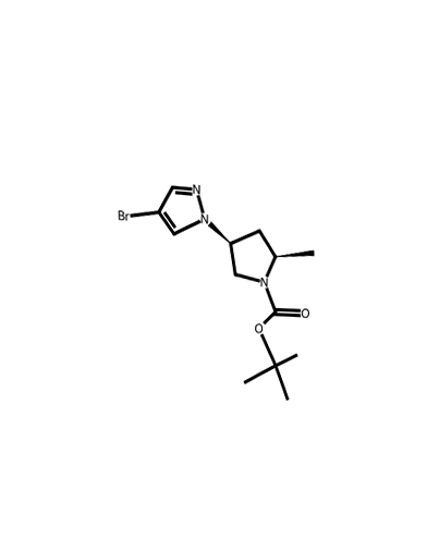 C[C@@H]1C[C@H](n2cc(Br)cn2)CN1C(=O)OC(C)(C)C